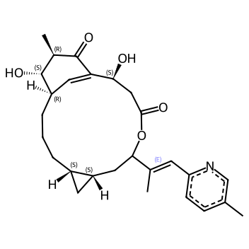 C/C(=C\c1ccc(C)cn1)C1C[C@@H]2C[C@@H]2CCC[C@@H]2C=C(C(=O)[C@H](C)[C@H]2O)[C@@H](O)CC(=O)O1